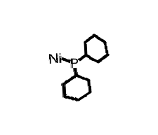 [Ni][P](C1CCCCC1)C1CCCCC1